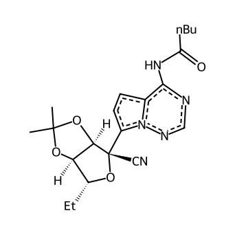 CCCCC(=O)Nc1ncnn2c([C@]3(C#N)O[C@H](CC)[C@H]4OC(C)(C)O[C@H]43)ccc12